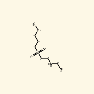 CCOCCCS(=O)(=O)CCNCC(C)C